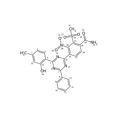 Cc1ccc(-c2nc(-c3ccccc3)nc(-c3ccc(C(N)=O)c(S(C)(=O)=O)c3[N+](=O)[O-])n2)c(O)c1